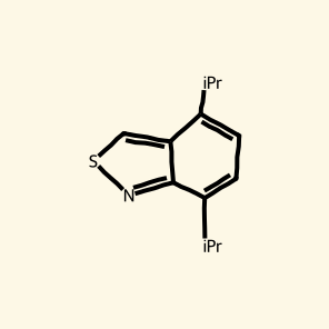 CC(C)c1ccc(C(C)C)c2nscc12